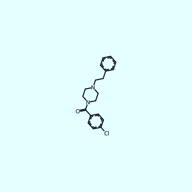 O=C(c1ccc(Cl)cc1)N1CCN(CCc2[c]cccc2)CC1